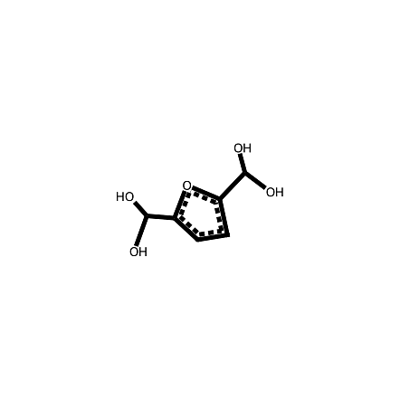 OC(O)c1ccc(C(O)O)o1